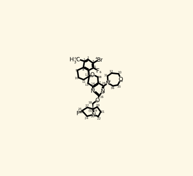 Cc1cc(Br)c(F)c2c1CCCC21Cc2nc(OC[C@@]34CCCN3C[C@H](F)C4)nc(N3CCCOCC3)c2CO1